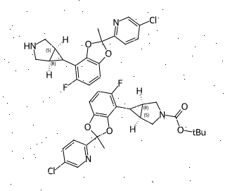 CC(C)(C)OC(=O)N1C[C@@H]2C(c3c(F)ccc4c3OC(C)(c3ccc(Cl)cn3)O4)[C@@H]2C1.CC1(c2ccc(Cl)cn2)Oc2ccc(F)c(C3[C@H]4CNC[C@@H]34)c2O1